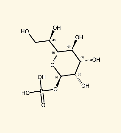 O=P(O)(O)O[C@H]1O[C@H]([C@H](O)CO)[C@@H](O)[C@H](O)[C@@H]1O